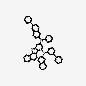 c1ccc(-c2cccc(N(c3ccc4ccccc4c3)c3cc(N(c4ccccc4)c4ccc5cc(-c6ccccc6)ccc5c4)cc4sc5c6ccccc6ccc5c34)c2)cc1